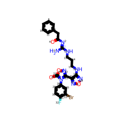 N/C(=N\C(=O)Cc1ccccc1)NCCCNc1nonc1-c1noc(=O)n1-c1ccc(F)c(Br)c1